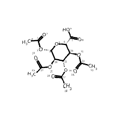 CC(=O)O[C@@H]1O[C@H](C(=O)O)[C@@H](OC(C)=O)[C@H](OC(C)=O)[C@H]1OC(C)=O